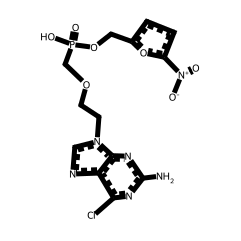 Nc1nc(Cl)c2ncn(CCOCP(=O)(O)OCc3ccc([N+](=O)[O-])o3)c2n1